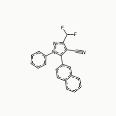 N#Cc1c(C(F)F)nn(-c2ccccc2)c1-c1ccc2ccccc2c1